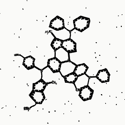 Cc1cn2c3c(ccc(N(c4ccccc4)c4ccccc4)c13)B1c3c-2cc(N(c2ccc(C(C)(C)C)cc2)c2cc4cc(C(C)(C)C)ccc4n2C)cc3-n2cc(C)c3c(N(c4ccccc4)c4ccccc4)ccc1c32